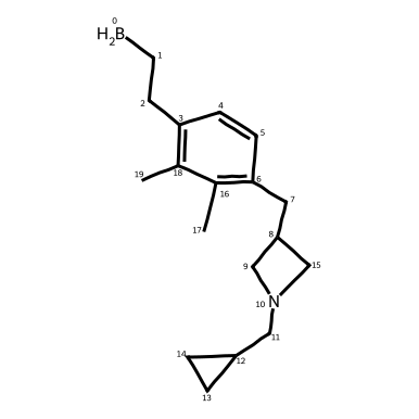 BCCc1ccc(CC2CN(CC3CC3)C2)c(C)c1C